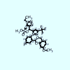 CCn1cc(C(OS(C)(=O)=O)c2cc(C(F)(F)F)nn2-c2ccc(F)cc2C(C)OCc2ccc(OC)cc2)nn1